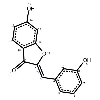 O=C1/C(=C/c2cccc(O)c2)Oc2cc(O)ccc21